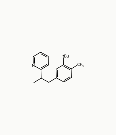 CC(Cc1ccc(C(F)(F)F)c(C(C)(C)C)c1)c1ccccn1